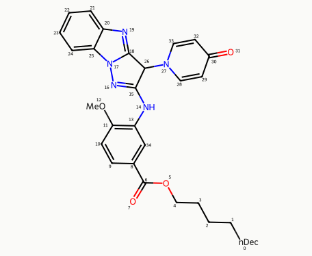 CCCCCCCCCCCCCCOC(=O)c1ccc(OC)c(NC2=Nn3c(nc4ccccc43)C2n2ccc(=O)cc2)c1